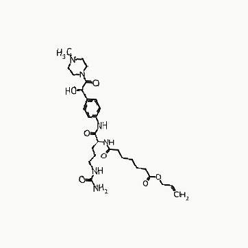 C=CCOC(=O)CCCCCC(=O)N[C@@H](CCCNC(N)=O)C(=O)Nc1ccc(C(O)C(=O)N2CCN(C)CC2)cc1